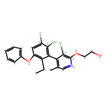 CCc1c(Oc2ccccc2)cc(F)c(Cl)c1-c1c(C)cnc(OCCO)c1F